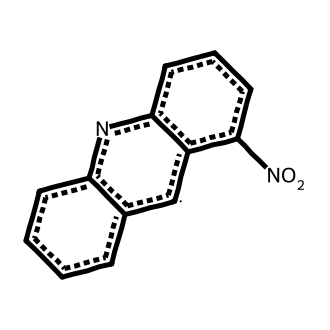 O=[N+]([O-])c1cccc2nc3ccccc3[c]c12